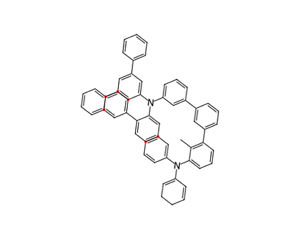 Cc1c(-c2cccc(-c3cccc(N(c4cc(-c5ccccc5)cc(-c5ccccc5)c4)c4ccccc4-c4ccccc4)c3)c2)cccc1N(C1=CCCC=C1)c1ccccc1